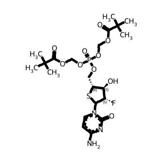 CC(C)(C)C(=O)OCOP(=O)(OCOC(=O)C(C)(C)C)OC[C@H]1SC(n2ccc(N)nc2=O)[C@@H](F)[C@@H]1O